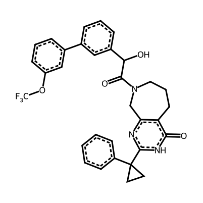 O=C(C(O)c1cccc(-c2cccc(OC(F)(F)F)c2)c1)N1CCCc2c(nc(C3(c4ccccc4)CC3)[nH]c2=O)C1